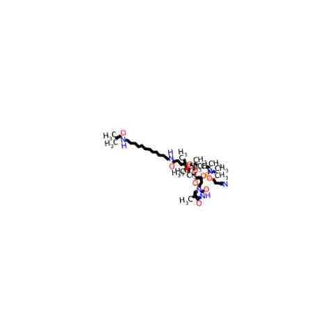 C=C(C)C(=O)NCCCCCCCCCCCCNC(=O)CCC(CC)(CC)O[Si](OC[C@H]1O[C@@H](n2cc(C)c(=O)[nH]c2=O)C[C@H]1OP(OCCC#N)N(C(C)C)C(C)C)(C(C)C)C(C)C